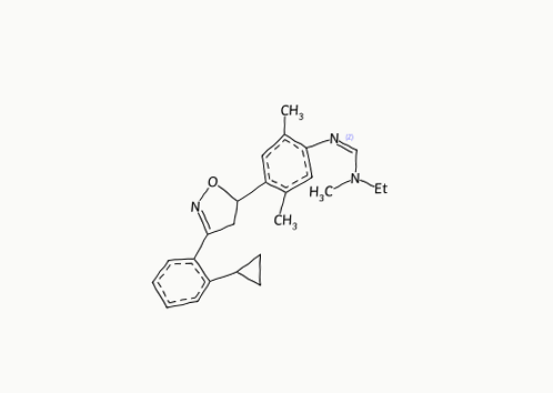 CCN(C)/C=N\c1cc(C)c(C2CC(c3ccccc3C3CC3)=NO2)cc1C